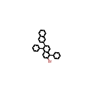 Brc1ccc2c(-c3ccccc3)c(-c3ccc4ccccc4c3)ccc2c1-c1ccccc1